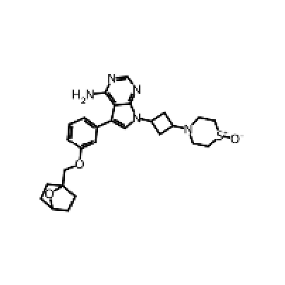 Nc1ncnc2c1c(-c1cccc(OCC34CCC(CC3)O4)c1)cn2C1CC(N2CC[S+]([O-])CC2)C1